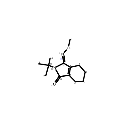 CO/N=C1\C2=C(CCCC2)C(=O)N1C(C)(C)C